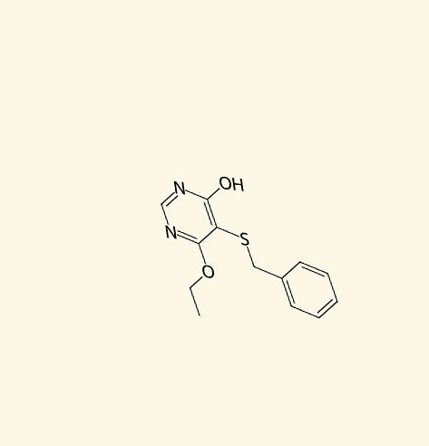 CCOc1ncnc(O)c1SCc1ccccc1